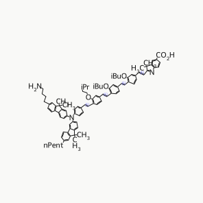 CCCCCc1ccc2c(c1)C(C)(C)c1ccc(N(c3ccc(/C=C/c4ccc(/C=C/c5ccc(/C=C/c6ccc(/C=C/C7=Nc8ccc(C(=O)O)cc8C7(C)C)cc6OCC(C)C)cc5OCC(C)C)cc4OCCC(C)C)cc3)c3ccc4c(c3)C(C)(C)c3cc(CCCCN)ccc3-4)cc1-2